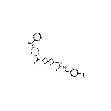 COc1ccc(CNC(=O)NC2CC3(C2)CC(C(=O)N2CCN(C(=O)c4ccccc4)CC2)C3)cc1